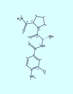 CC(C)(C)[C@H](NC(=O)c1ccc(N)c(Cl)c1)C(=O)N1CCCC1C(N)=O